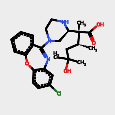 C[C@H](CC(C)(C)O)[C@](C)(C(=O)O)[C@H]1CN(C2=Nc3cc(Cl)ccc3Oc3ccccc32)CCN1